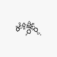 NC(=O)C1(Cc2ccccc2)CN=C([C@H]2C[C@@H](N(Cc3ccc(C(F)(F)F)cc3)S(=O)(=O)c3ccc(F)cc3)C3CC2C3)N1